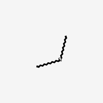 C=CCCCCCCCCCC[Si](C)(C)CCCCCCCCCCC=C